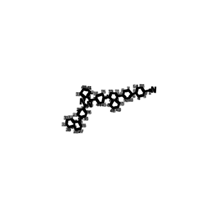 N#Cc1ccc(-c2ccc(-c3ccc(-c4ccc(-c5nc(-c6ccc(-c7cccc8ccccc78)cc6)nc6ccccc56)cc4)c4ccccc34)cc2)cc1